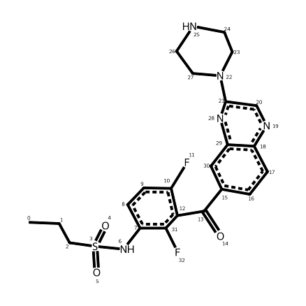 CCCS(=O)(=O)Nc1ccc(F)c(C(=O)c2ccc3ncc(N4CCNCC4)nc3c2)c1F